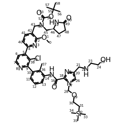 COc1nc(-c2ccnc(-c3cccc(NC(=O)c4nc(CNCCO)cn4COCC[Si](C)(C)C)c3C)c2Cl)ccc1CN(C[C@@H]1CCC(=O)N1)C(=O)OC(C)(C)C